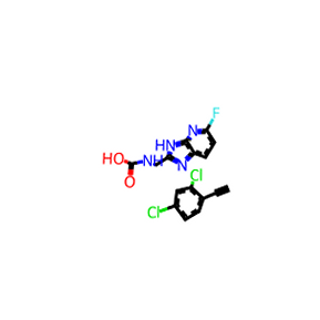 C#Cc1ccc(Cl)cc1Cl.O=C(O)NCc1nc2ccc(F)nc2[nH]1